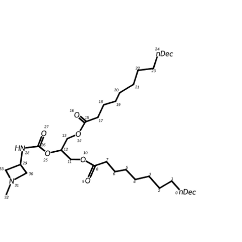 CCCCCCCCCCCCCCCCCC(=O)OCC(COC(=O)CCCCCCCCCCCCCCCCC)OC(=O)NC1CN(C)C1